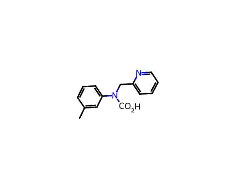 Cc1cccc(N(Cc2ccccn2)C(=O)O)c1